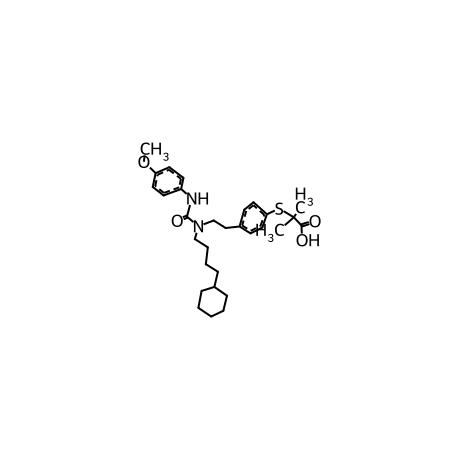 COc1ccc(NC(=O)N(CCCCC2CCCCC2)CCc2ccc(SC(C)(C)C(=O)O)cc2)cc1